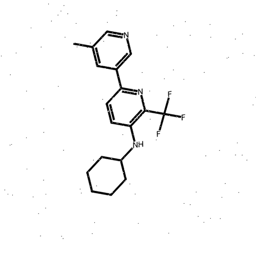 Cc1cncc(-c2ccc(NC3CCCCC3)c(C(F)(F)F)n2)c1